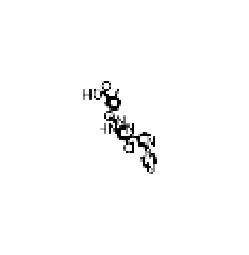 Cc1ccc(Oc2nc3nc(C4C=C(N5CCN(C)CC5)N=CC4)c(Cl)cc3[nH]2)cc1C(=O)O